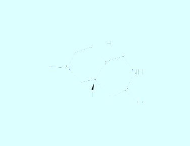 CN1CC[C@H]2CNC(=O)O[C@@H]2C1